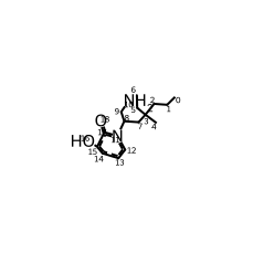 CCCC(C)(CC)CC(CN)n1cccc(O)c1=O